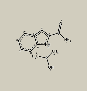 CC(C)O.NC(=O)c1cc2ccccc2[nH]1